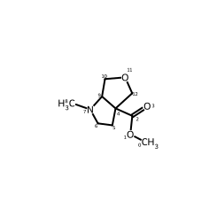 COC(=O)C12CCN(C)C1COC2